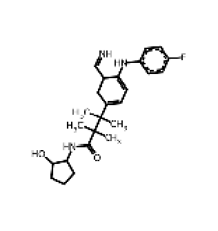 CC(C)(C(=O)NC1CCCC1O)C(C)(C)C1=CC=C(Nc2ccc(F)cc2)C(C=N)C1